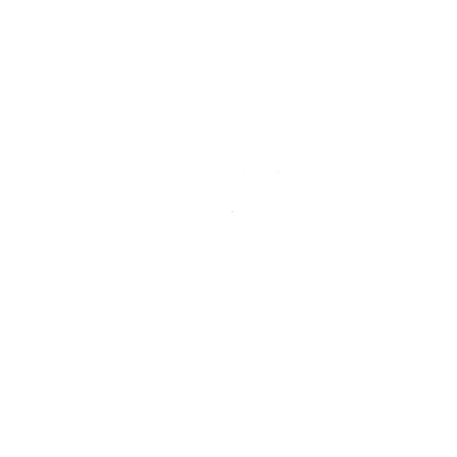 CC(=O)C(C)(C)C1=CCCCC1